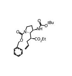 C=CC[C@H](C(=O)OCC)[C@H]1[C@H](NC(=O)OC(C)(C)C)CCN1C(=O)OCc1ccccc1